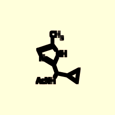 CC(=O)NC(c1ncc(C)[nH]1)C1CC1